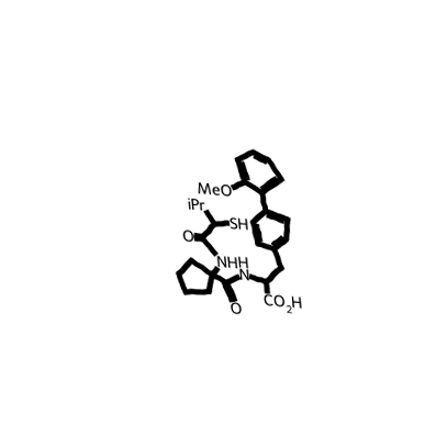 COc1ccccc1-c1ccc(CC(NC(=O)C2(NC(=O)C(S)C(C)C)CCCC2)C(=O)O)cc1